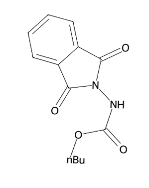 CCCCOC(=O)NN1C(=O)c2ccccc2C1=O